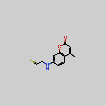 Cc1cc(=O)oc2cc(NCC=S)ccc12